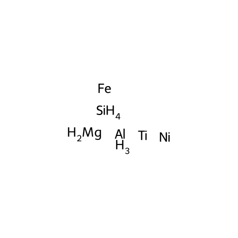 [AlH3].[Fe].[MgH2].[Ni].[SiH4].[Ti]